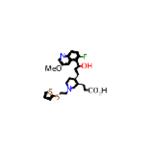 COc1cnc2ccc(F)c(C(O)CC[C@@H]3CCN(CCSc4cccs4)C[C@@H]3CCC(=O)O)c2c1